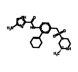 C[C@@H]1CN(S(=O)(=O)Cc2ccc(NC(=O)c3nc(N)c[nH]3)c(C3=CCCCC3)c2)CCN1